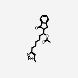 CC(=O)OC(CCCCCc1cn(C)nn1)C1Cc2ccccc2C1=O